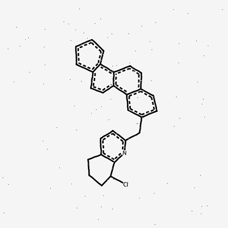 ClC1CCCc2ccc(Cc3ccc4ccc5c6ccccc6ccc5c4c3)nc21